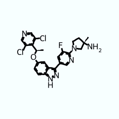 C[C@@H](Oc1ccc2[nH]nc(-c3cnc(N4CC[C@](C)(N)C4)c(F)c3)c2c1)c1c(Cl)cncc1Cl